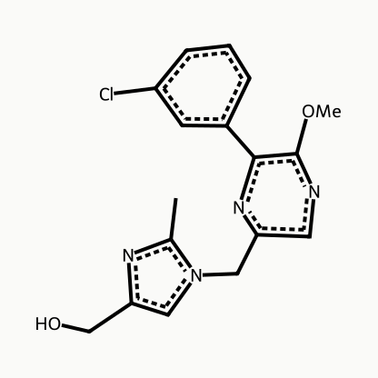 COc1ncc(Cn2cc(CO)nc2C)nc1-c1cccc(Cl)c1